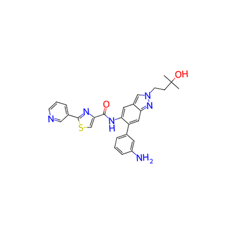 CC(C)(O)CCn1cc2cc(NC(=O)c3csc(-c4cccnc4)n3)c(-c3cccc(N)c3)cc2n1